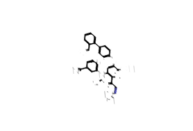 CCN(c1cccc(C#N)c1)c1c(C(=N)/C=C\NC)nc(O)c(Sc2ccc(-c3ccccc3C=O)cc2)c1O